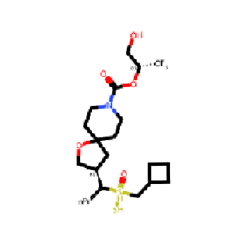 CCCC([C@H]1COC2(CCN(C(=O)O[C@H](CO)C(F)(F)F)CC2)C1)[SH](=O)(S)CC1CCC1